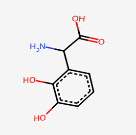 NC(C(=O)O)c1cc[c]c(O)c1O